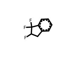 FC1Cc2ccccc2C1(F)F